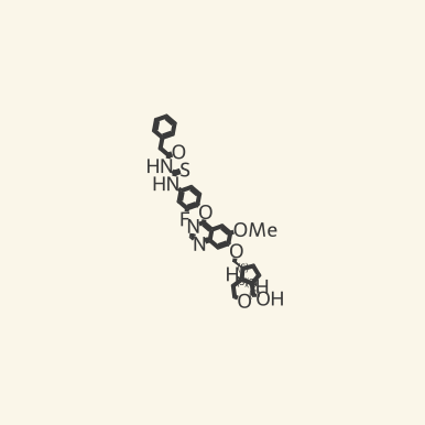 COc1cc2c(Oc3ccc(NC(=S)NC(=O)Cc4ccccc4)cc3F)ncnc2cc1OC[C@H]1CC[C@H]2[C@H]1CCO[C@@H]2O